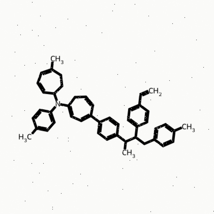 C=Cc1ccc(C(Cc2ccc(C)cc2)C(C)c2ccc(C3=CC=C(N(c4ccc(C)cc4)C4C=CC=C(C)CC4)CC=C3)cc2)cc1